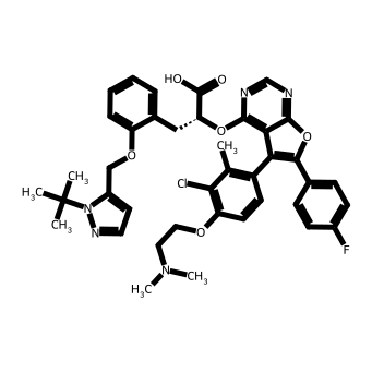 Cc1c(-c2c(-c3ccc(F)cc3)oc3ncnc(O[C@H](Cc4ccccc4OCc4ccnn4C(C)(C)C)C(=O)O)c23)ccc(OCCN(C)C)c1Cl